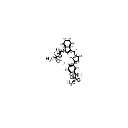 CC(C)(C)OC(=O)n1cc(CN2CCC(c3cccc(NS(C)(=O)=O)c3)C2)c2ccccc21